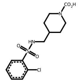 O=C(O)N1CCC(CNS(=O)(=O)c2ccccc2Cl)CC1